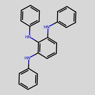 c1ccc(Nc2cccc(Nc3ccccc3)c2Nc2ccccc2)cc1